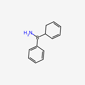 NB(c1ccccc1)C1C=CC=CC1